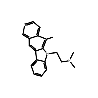 Cc1c2ccncc2cc2c3ccccc3n(CCN(C)C)c12